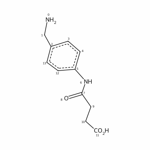 NCc1ccc(NC(=O)CCC(=O)O)cc1